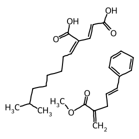 C=C(CC=Cc1ccccc1)C(=O)OC.CC(C)CCCCCC=C(C=CC(=O)O)C(=O)O